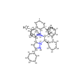 CC(C)c1cccc(C(C)C)c1N[C@@H](c1ccccc1)[C@@H](c1ccccc1)n1nc(-c2ccccc2)cc1-c1ccccc1